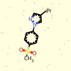 CC(C)c1cnn(-c2ccc(S(C)(=O)=O)cc2)c1